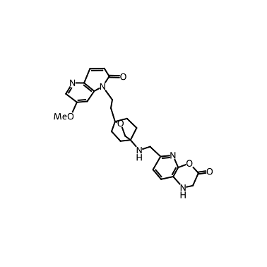 COc1cnc2ccc(=O)n(CCC34CCC(NCc5ccc6c(n5)OC(=O)CN6)(CC3)CO4)c2c1